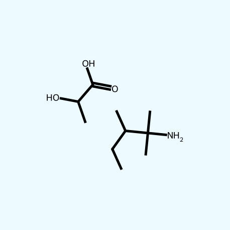 CC(O)C(=O)O.CCC(C)C(C)(C)N